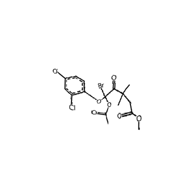 COC(=O)CC(C)(C)C(=O)C(Br)(OC(C)=O)Oc1ccc(Cl)cc1Cl